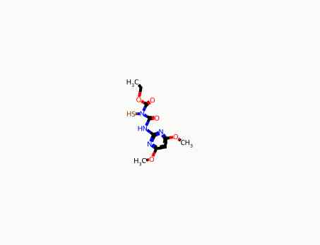 CCOC(=O)N(S)C(=O)Nc1nc(OC)cc(OC)n1